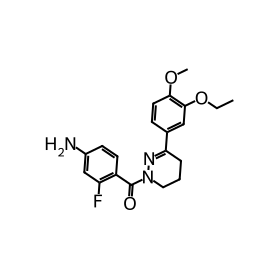 CCOc1cc(C2=NN(C(=O)c3ccc(N)cc3F)CCC2)ccc1OC